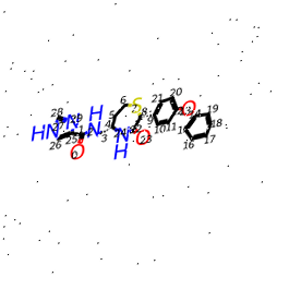 O=C(NC[C@@H]1CCS[C@H](c2ccc(Oc3ccccc3)cc2)C(=O)N1)c1c[nH]cn1